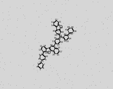 C1=C(c2ccccc2)CCC(c2cccc3c2oc2c4ccccc4c(-c4ccc(N(c5cccc(-c6ccccc6)c5)c5ccc6c(c5)oc5ccccc56)cc4)cc32)=C1